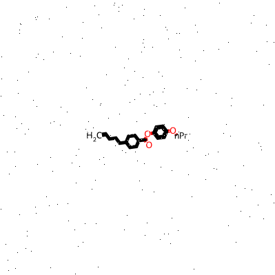 C=CCCCC1CCC(C(=O)Oc2ccc(OCCC)cc2)CC1